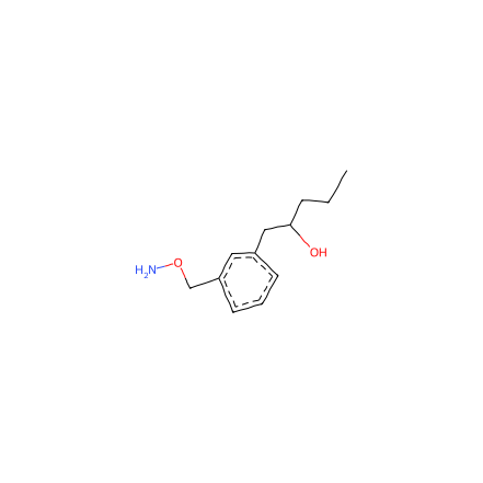 CCCC(O)Cc1cccc(CON)c1